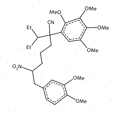 CCC(CC)C(C#N)(CCCC(Cc1ccc(OC)c(OC)c1)[N+](=O)[O-])c1cc(OC)c(OC)c(OC)c1OC